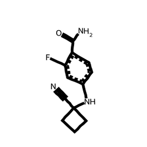 N#CC1(Nc2ccc(C(N)=O)c(F)c2)CCC1